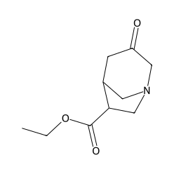 CCOC(=O)C1CN2CC(=O)CC1C2